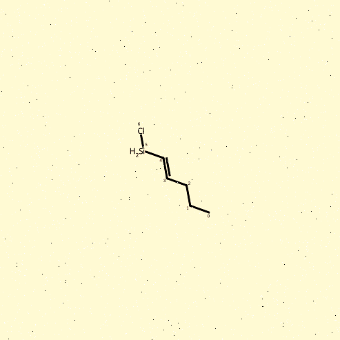 CCCC=C[SiH2]Cl